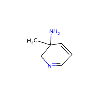 CC1(N)C=CC=NC1